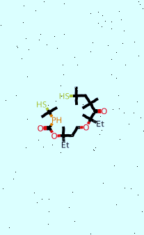 CCC(C)(CCOC(C)(CC)C(=O)C(C)(C)CC(C)(C)S)OC(=O)PC(C)(C)S